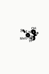 COc1cc(N(C)CCN(C)C)c([N+](=O)[O-])cc1Nc1nccc(-c2cn(C)c3cc(O)ccc23)n1